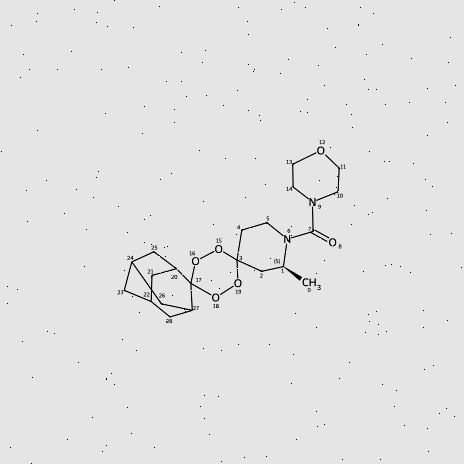 C[C@H]1CC2(CCN1C(=O)N1CCOCC1)OOC1(OO2)C2CC3CC(C2)CC1C3